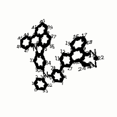 c1ccc(N(c2cccc(-c3ccc4c5ccccc5c5ncncc5c4c3)c2)c2ccc3c(c2)c2ccc4cccc5c6ccccc6n3c2c45)cc1